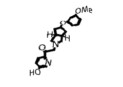 COc1cccc(OC2C[C@@H]3CN(CC(=O)c4ccc(O)cn4)C[C@@H]3C2)c1